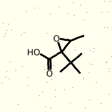 CC1OC1(C(=O)O)C(C)(C)C